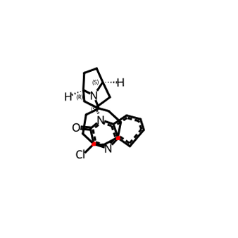 O=c1c(Cl)nc2ccccc2n1[C@@H]1C[C@H]2CC[C@@H](C1)N2C1CCCCCCC1